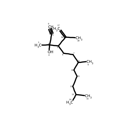 C#CC(C)(O)C(CCC(C)CCCC(C)C)C(=C)C